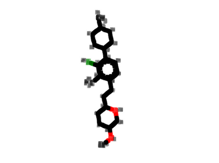 CCOC1CCC(CCc2ccc(C3CCC(C)CC3)c(F)c2C(F)(F)F)OC1